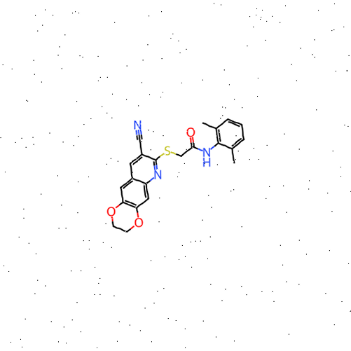 Cc1cccc(C)c1NC(=O)CSc1nc2cc3c(cc2cc1C#N)OCCO3